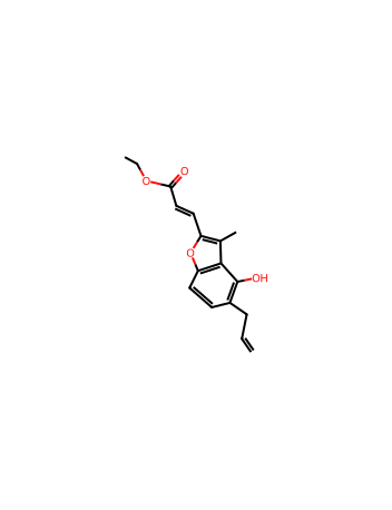 C=CCc1ccc2oc(/C=C/C(=O)OCC)c(C)c2c1O